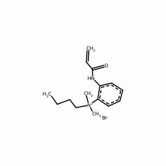 C=CC(=O)Nc1ccccc1[N+](C)(C)CCCC.[Br-]